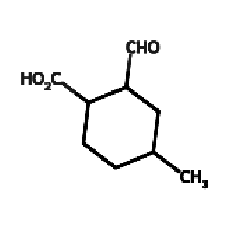 CC1CCC(C(=O)O)C(C=O)C1